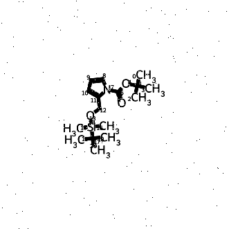 CC(C)(C)OC(=O)n1cccc1CO[Si](C)(C)C(C)(C)C